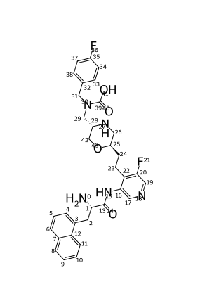 N[C@@H](Cc1cccc2ccccc12)C(=O)Nc1cncc(F)c1CC[C@@H]1CN[C@@H](CN(Cc2ccc(F)cc2)C(=O)O)CO1